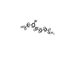 COC(=O)c1coc(-c2coc(-c3coc(-c4cc(Br)cc(-c5nc(C(=O)O)co5)n4)n3)n2)n1